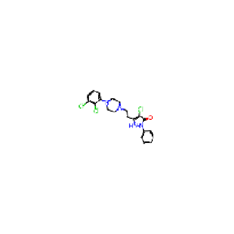 O=c1c(Cl)c(CCN2CCN(c3cccc(Cl)c3Cl)CC2)[nH]n1-c1ccccc1